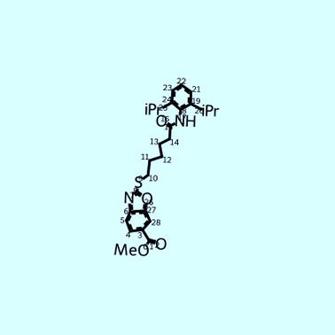 COC(=O)c1ccc2nc(SCCCCCC(=O)Nc3c(C(C)C)cccc3C(C)C)oc2c1